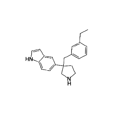 CCc1cccc(CC2(c3ccc4[nH]ccc4c3)CCNC2)c1